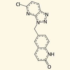 O=c1ccc2cc(Cn3nnc4ccc(Cl)nc43)ccc2[nH]1